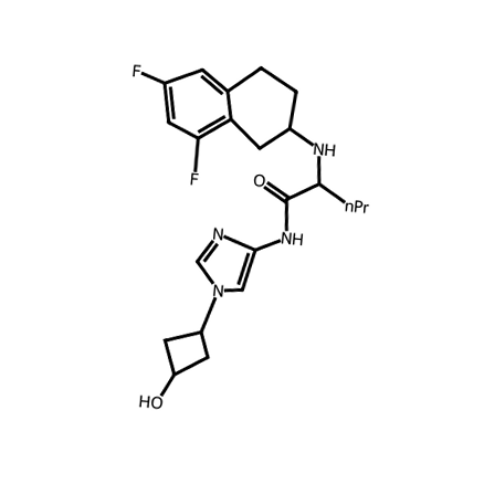 CCCC(NC1CCc2cc(F)cc(F)c2C1)C(=O)Nc1cn(C2CC(O)C2)cn1